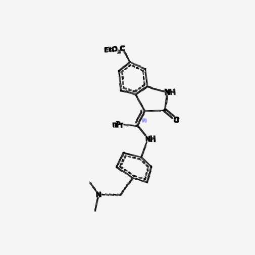 CCC/C(Nc1ccc(CN(C)C)cc1)=C1/C(=O)Nc2cc(C(=O)OCC)ccc21